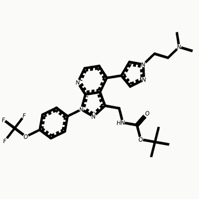 CN(C)CCn1cc(-c2ccnc3c2c(CNC(=O)OC(C)(C)C)nn3-c2ccc(OC(F)(F)F)cc2)cn1